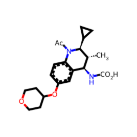 CC(=O)N1c2ccc(OC3CCOCC3)cc2[C@H](NC(=O)O)[C@@H](C)[C@@H]1C1CC1